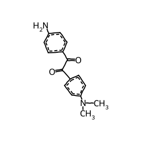 CN(C)c1ccc(C(=O)C(=O)c2ccc(N)cc2)cc1